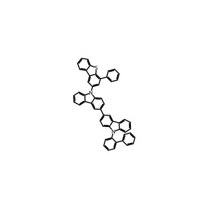 c1ccc(-c2ccccc2-n2c3ccccc3c3cc(-c4ccc5c(c4)c4ccccc4n5-c4cc(-c5ccccc5)c5sc6ccccc6c5c4)ccc32)cc1